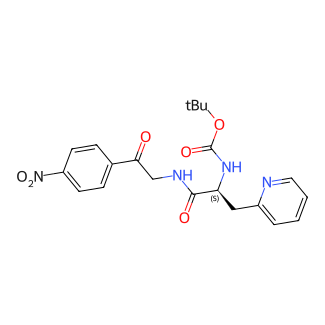 CC(C)(C)OC(=O)N[C@@H](Cc1ccccn1)C(=O)NCC(=O)c1ccc([N+](=O)[O-])cc1